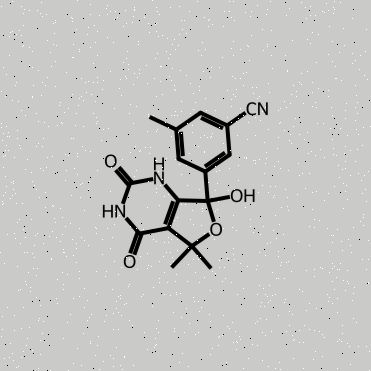 Cc1cc(C#N)cc(C2(O)OC(C)(C)c3c2[nH]c(=O)[nH]c3=O)c1